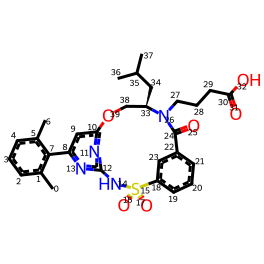 Cc1cccc(C)c1-c1cc2nc(n1)NS(=O)(=O)c1cccc(c1)C(=O)N(CCCC(=O)O)[C@H](CC(C)C)CO2